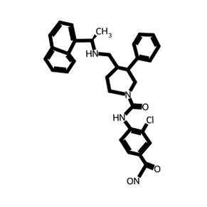 C[C@@H](NCC1CCN(C(=O)Nc2ccc(C(=O)N=O)cc2Cl)CC1c1ccccc1)c1cccc2ccccc12